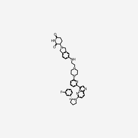 O=C1CCC(N2Cc3ccc(NCCN4CCN(c5cccc(-c6cnc7ccc(N8CCC[C@@H]8c8cccc(F)c8)nn67)n5)CC4)cc3C2)C(=O)N1